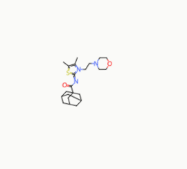 Cc1sc(=NC(=O)C23CC4CC(CC(C4)C2)C3)n(CCN2CCOCC2)c1C